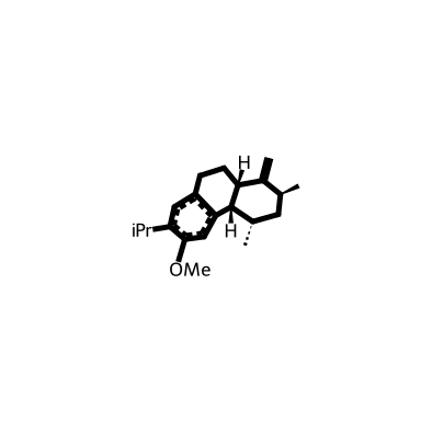 C=C1[C@H]2CCc3cc(C(C)C)c(OC)cc3[C@H]2[C@@H](C)C[C@@H]1C